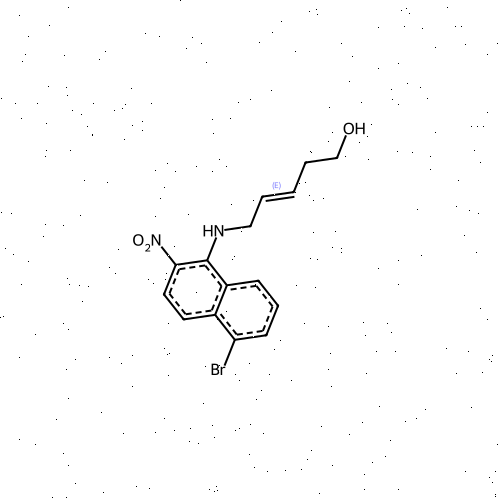 O=[N+]([O-])c1ccc2c(Br)cccc2c1NC/C=C/CCO